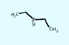 [CH2]CPCC